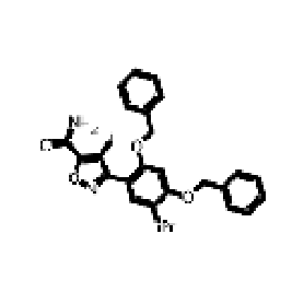 CC(C)c1cc(-c2noc(C(N)=O)c2I)c(OCc2ccccc2)cc1OCc1ccccc1